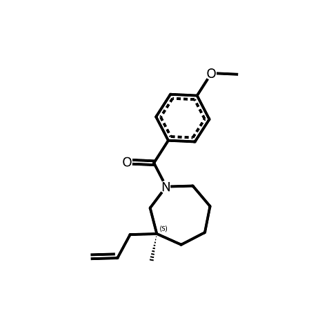 C=CC[C@]1(C)CCCCN(C(=O)c2ccc(OC)cc2)C1